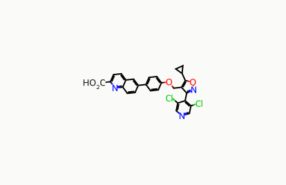 O=C(O)c1ccc2cc(-c3ccc(OCc4c(-c5c(Cl)cncc5Cl)noc4C4CC4)cc3)ccc2n1